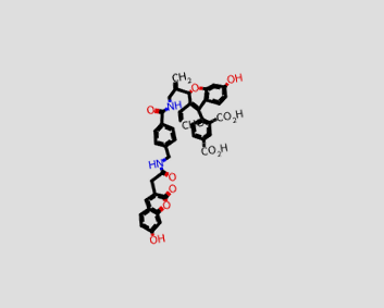 C=C(CNC(=O)c1ccc(CNC(=O)Cc2cc3ccc(O)cc3oc2=O)cc1)C1Oc2cc(O)ccc2C(c2ccc(C(=O)O)cc2C(=O)O)=C1/C=C\C=O